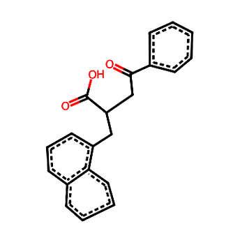 O=C(CC(Cc1cccc2ccccc12)C(=O)O)c1ccccc1